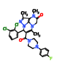 CC1=C(C(=O)N2CCN(c3ccc(F)cc3)CC2)C(c2cccc(Cl)c2Cl)n2nc(C)c3c2N1CC(=O)N3C